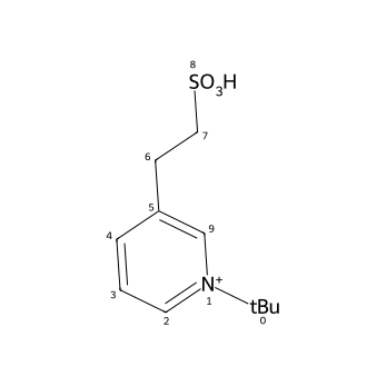 CC(C)(C)[n+]1cccc(CCS(=O)(=O)O)c1